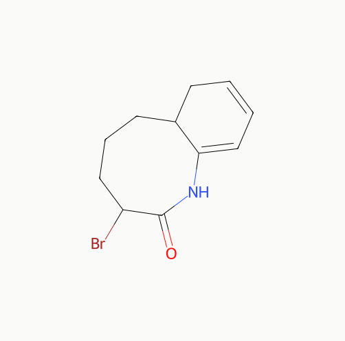 O=C1NC2=CC=CCC2CCCC1Br